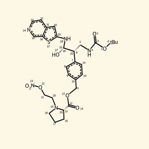 CC(C)(C)OC(=O)NC[C@H](c1ccc(COC(=O)[C@@H]2CCCN2CCO[N+](=O)[O-])cc1)[C@H](O)Nc1cc2ccncc2s1